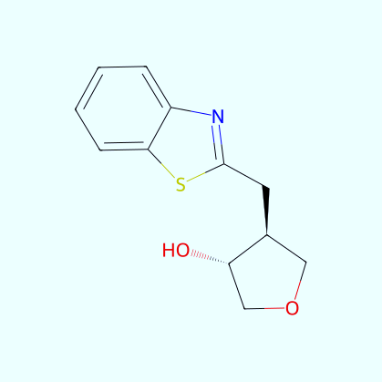 O[C@H]1COC[C@@H]1Cc1nc2ccccc2s1